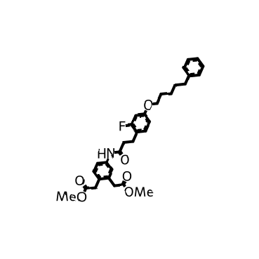 COC(=O)Cc1ccc(NC(=O)CCc2ccc(OCCCCCc3ccccc3)cc2F)cc1CC(=O)OC